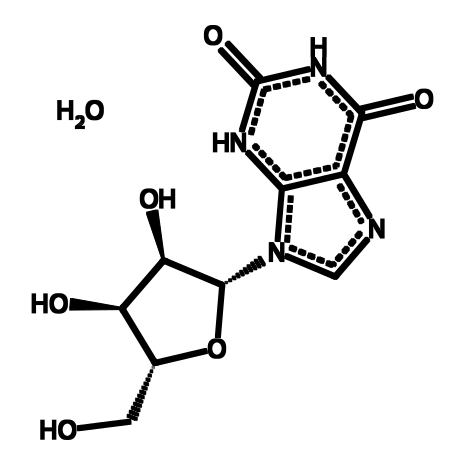 O.O=c1[nH]c(=O)c2ncn([C@@H]3O[C@H](CO)[C@@H](O)[C@H]3O)c2[nH]1